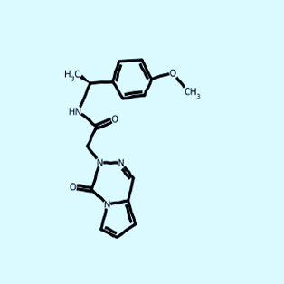 COc1ccc([C@H](C)NC(=O)Cn2ncc3cccn3c2=O)cc1